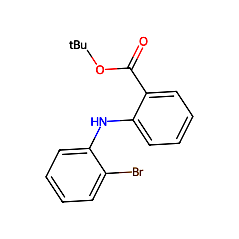 CC(C)(C)OC(=O)c1ccccc1Nc1ccccc1Br